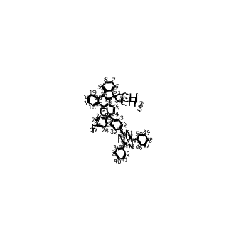 CCC1(CC)c2ccccc2-c2c1c1c(c3ccccc23)OC(c2ccc(F)cc2)(c2ccc(-c3nc(-c4ccccc4)nc(-c4ccccc4)n3)cc2)C=C1